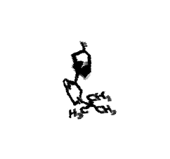 CC(C)(C)N1CCO[C@@H](c2ccc(F)cc2)C1